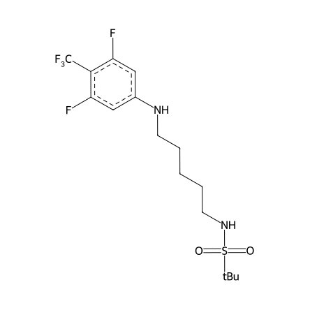 CC(C)(C)S(=O)(=O)NCCCCCNc1cc(F)c(C(F)(F)F)c(F)c1